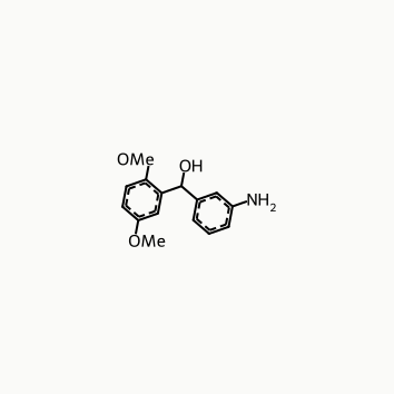 COc1ccc(OC)c(C(O)c2cccc(N)c2)c1